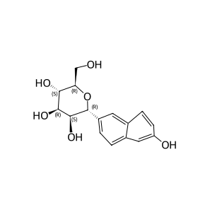 OC[C@H]1O[C@H](c2ccc3cc(O)ccc3c2)[C@@H](O)[C@@H](O)[C@@H]1O